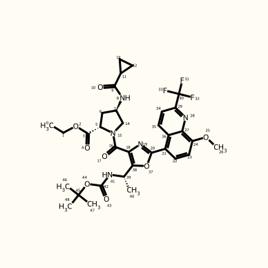 CCOC(=O)[C@@H]1C[C@@H](NC(=O)C2CC2)CN1C(=O)c1nc(-c2ccc(OC)c3nc(C(F)(F)F)ccc23)oc1[C@H](C)NC(=O)OC(C)(C)C